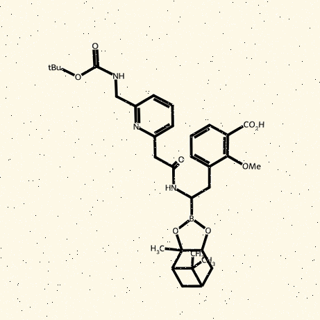 COc1c(CC(NC(=O)Cc2cccc(CNC(=O)OC(C)(C)C)n2)B2OC3CC4CC(C4(C)C)C3(C)O2)cccc1C(=O)O